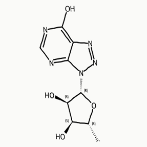 [CH2][C@H]1O[C@@H](n2nnc3c(O)ncnc32)[C@H](O)[C@@H]1O